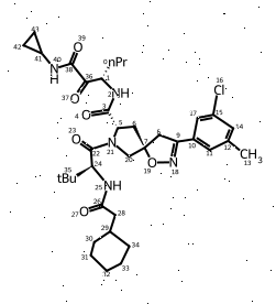 CCC[C@H](NC(=O)[C@@H]1C[C@]2(CC(c3cc(C)cc(Cl)c3)=NO2)CN1C(=O)[C@@H](NC(=O)CC1CCCCC1)C(C)(C)C)C(=O)C(=O)NC1CC1